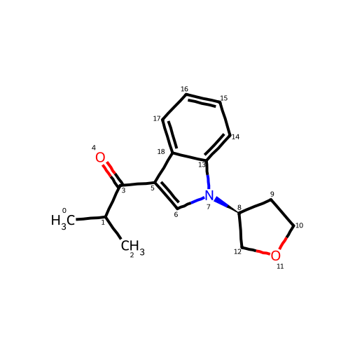 CC(C)C(=O)c1cn([C@H]2CCOC2)c2ccccc12